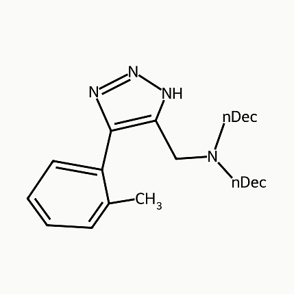 CCCCCCCCCCN(CCCCCCCCCC)Cc1[nH]nnc1-c1ccccc1C